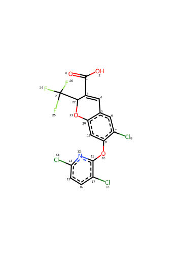 O=C(O)C1=Cc2cc(Cl)c(Oc3nc(Cl)ccc3Cl)cc2OC1C(F)(F)F